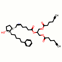 C#CCCCC(=O)OCC(COC(=O)CCCC#C)OC(=O)CCC/C=C\C[C@H]1CC[C@@H](O)[C@@H]1CCCCCc1ccccc1